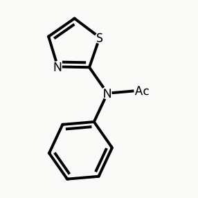 CC(=O)N(c1ccccc1)c1nccs1